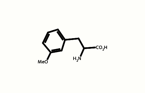 COc1cccc(CC(N)C(=O)O)c1